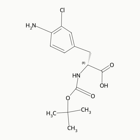 CC(C)(C)OC(=O)N[C@H](Cc1ccc(N)c(Cl)c1)C(=O)O